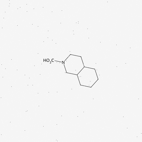 O=C(O)N1[CH]C2CCCCC2CC1